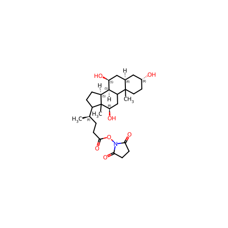 C[C@H](CCC(=O)ON1C(=O)CCC1=O)C1CC[C@H]2[C@@H]3C(C[C@@H](O)C12C)C1(C)CC[C@@H](O)C[C@@H]1C[C@@H]3O